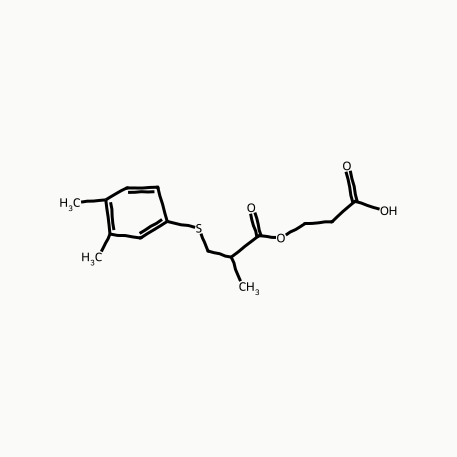 Cc1ccc(SCC(C)C(=O)OCCC(=O)O)cc1C